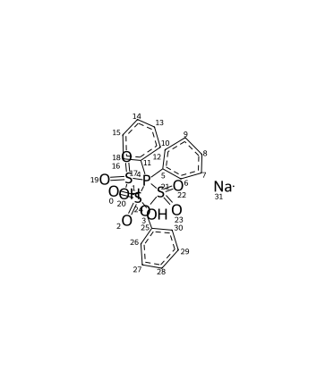 O=S(=O)(O)P(c1ccccc1)(c1ccccc1)(S(=O)(=O)O)S(=O)(=O)Oc1ccccc1.[Na]